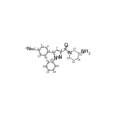 N#Cc1ccc(-c2cc(C(=O)N3CCCC(N)C3)nn2-c2ccccc2)cc1